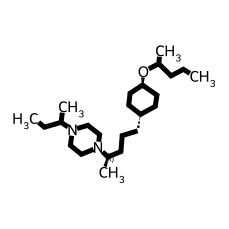 CCCC(C)O[C@H]1CC[C@H](CCC[C@@H](C)N2CCN(C(C)CC)CC2)CC1